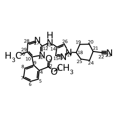 COC(=O)c1ccccc1-c1nc(Nc2cnn(C3CCC(C#N)CC3)c2)ncc1C